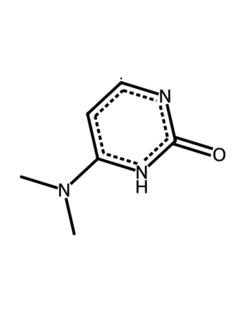 CN(C)c1c[c]nc(=O)[nH]1